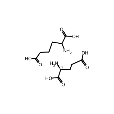 NC(CCCC(=O)O)C(=O)O.N[C@@H](CCC(=O)O)C(=O)O